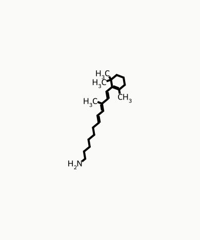 CC1=C(/C=C/C(C)=C/C=C/CCCCCCN)C(C)(C)CCC1